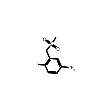 CS(=O)(=O)[CH]c1cc(C(F)(F)F)ccc1F